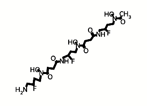 CC(=O)N(O)CCC(F)CNC(=O)CCC(=O)N(O)CCC(F)CNC(=O)CCC(=O)N(O)CCC(F)CN